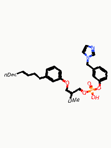 CCCCCCCCCCCCCCc1cccc(OCC(COP(=O)(O)Oc2cccc(Cn3ccnc3)c2)OC)c1